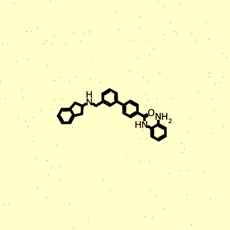 Nc1ccccc1NC(=O)c1ccc(-c2cccc(CNC3Cc4ccccc4C3)c2)cc1